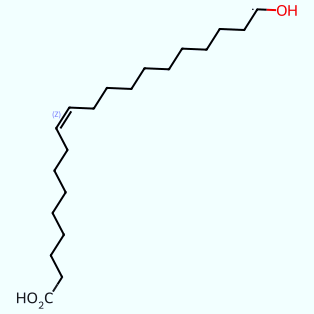 O=C(O)CCCCCCC/C=C\CCCCCCCCC[CH]O